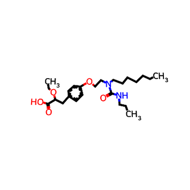 CCCCCCCN(CCOc1ccc(CC(OCC)C(=O)O)cc1)C(=O)NCCC